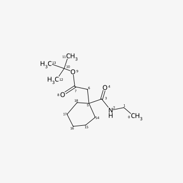 CCNC(=O)C1(CC(=O)OC(C)(C)C)CCCCC1